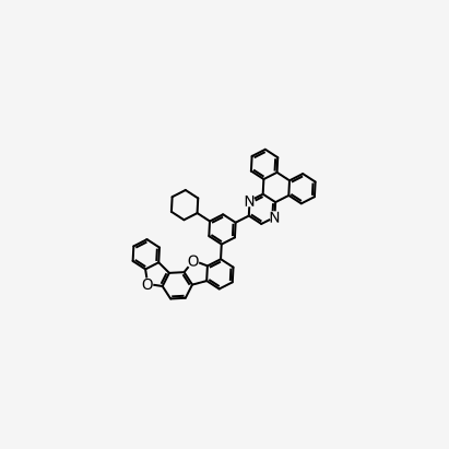 c1ccc2c(c1)oc1ccc3c4cccc(-c5cc(-c6cnc7c8ccccc8c8ccccc8c7n6)cc(C6CCCCC6)c5)c4oc3c12